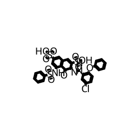 O=C1/C(=N/Nc2cc(Cl)ccc2Oc2ccccc2)C(S(=O)(=O)O)=Cc2cc(S(=O)(=O)O)cc(NS(=O)(=O)c3ccccc3)c21